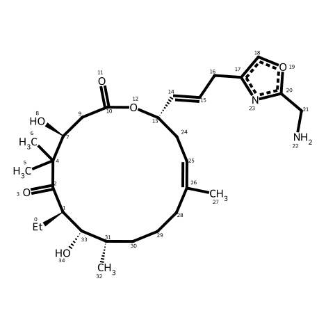 CC[C@H]1C(=O)C(C)(C)[C@@H](O)CC(=O)O[C@H](C=CCc2coc(CN)n2)C/C=C(/C)CCC[C@H](C)[C@@H]1O